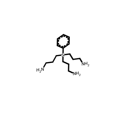 NCCC[Si](CCCN)(CCCN)c1ccccc1